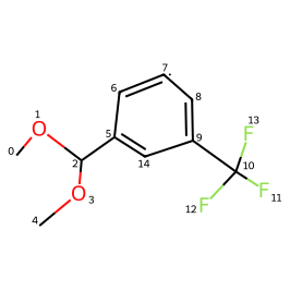 COC(OC)c1c[c]cc(C(F)(F)F)c1